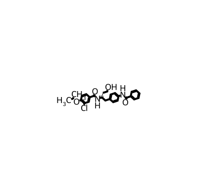 CC(C)Oc1ccc(C(=O)N[C@H](CCO)Cc2ccc(NC(=O)c3ccccc3)cc2)cc1Cl